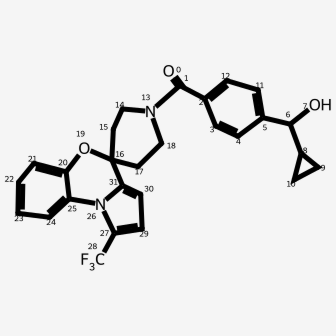 O=C(c1ccc(C(O)C2CC2)cc1)N1CCC2(CC1)Oc1ccccc1-n1c(C(F)(F)F)ccc12